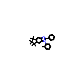 Cc1ccccc1-n1c(-c2ccccc2)nc2cc3c(cc21)C(C)(C)C(C)(C)C3(C)C